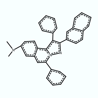 CN(C)c1ccc2c(c1)cc(-c1ccccc1)n1nc(-c3ccc4ccccc4c3)c(-c3ccccc3)c21